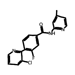 Cc1ccnc(NC(=O)c2ccc(-c3ncccc3Cl)c(F)c2)c1